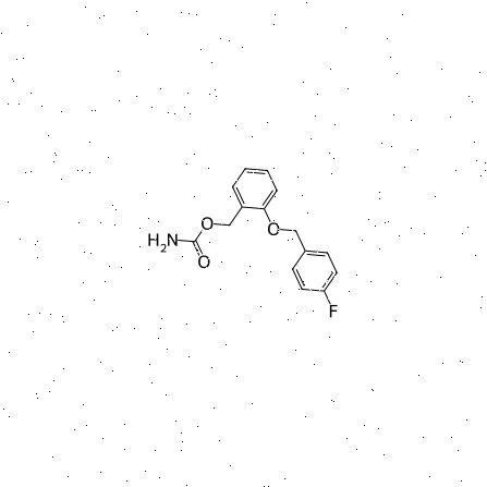 NC(=O)OCc1ccccc1OCc1ccc(F)cc1